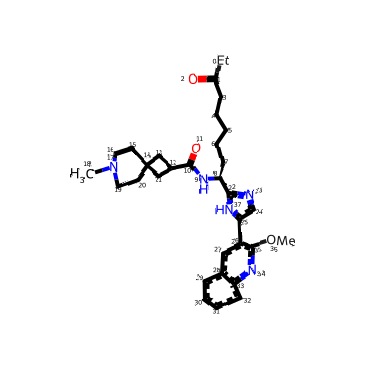 CCC(=O)CCCCC[C@H](NC(=O)C1CC2(CCN(C)CC2)C1)c1ncc(-c2cc3ccccc3nc2OC)[nH]1